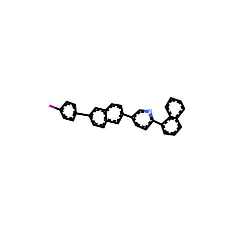 Ic1ccc(-c2ccc3cc(-c4ccc(-c5cccc6ccccc56)nc4)ccc3c2)cc1